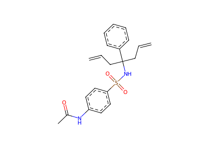 C=CCC(CC=C)(NS(=O)(=O)c1ccc(NC(C)=O)cc1)c1ccccc1